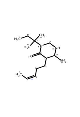 C/C=C\CCC1C(=O)N(C(C)(C)CC)CNC1N